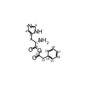 N[C@@H](Cc1cnc[nH]1)C(=O)OC(=O)Cc1ccccc1